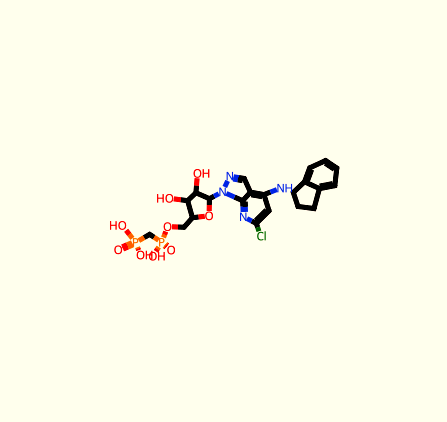 O=P(O)(O)CP(=O)(O)OCC1OC(n2ncc3c(N[C@H]4CCc5ccccc54)cc(Cl)nc32)C(O)C1O